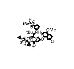 COc1cnc(O[C@@H]2C[C@@H](C(=O)N[C@]3(C(=O)NS(=O)(=O)C4CC4)C[C@H]3I)N(C(=O)[C@@H](Nc3cccc(S(=O)(=O)NC(C)(C)C)c3)C(C)(C)C)C2)c2cc(Cl)ccc12